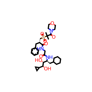 CC(C)(C(=O)N1CCOCC1)S(=O)(=O)C[C@@H](Cc1ccccc1)C(=O)NCC(=O)N[C@@H](CC1CCCCC1)[C@@H](O)[C@@H](O)C1CC1